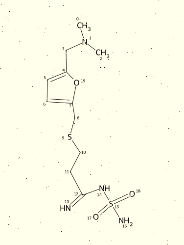 CN(C)Cc1ccc(CSCCC(=N)NS(N)(=O)=O)o1